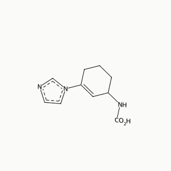 O=C(O)NC1C=C(n2ccnc2)CCC1